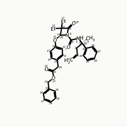 C=CC[C@@](C)(NC(=O)N1C(=O)C(CC)(CC)[C@@H]1Oc1ccc(CC(=O)OCc2ccccc2)cc1)c1ccccc1